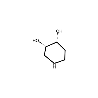 O[C@@H]1CCNC[C@@H]1O